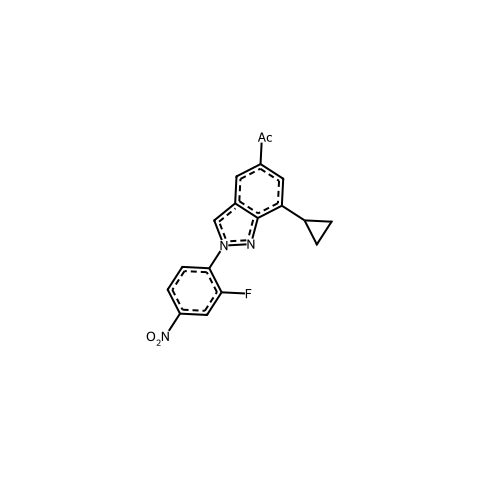 CC(=O)c1cc(C2CC2)c2nn(-c3ccc([N+](=O)[O-])cc3F)cc2c1